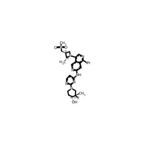 CC(C)c1ncc(N2C[C@H](CS(C)(=O)=O)[C@H]2C)c2cnc(Nc3ccnc(N4CC[C@@H](O)[C@@](C)(F)C4)n3)cc12